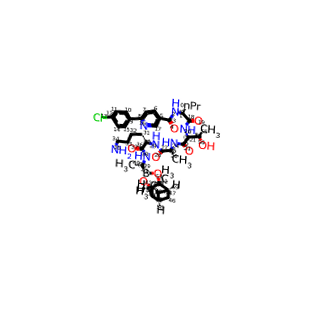 CCC[C@H](NC(=O)c1ccc(-c2ccc(Cl)cc2)nc1)C(=O)N[C@H](C(=O)N[C@@H](C)C(=O)N[C@@H](CCCCN)C(=O)N[C@@H](C)B1O[C@@H]2C[C@@H]3C[C@@H](C3(C)C)[C@]2(C)O1)[C@@H](C)O